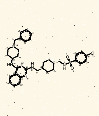 O=S(=O)(NC[C@H]1CC[C@H](CNc2nc(NC3CCN(Cc4ccccc4)CC3)c3ccccc3n2)CC1)c1ccc(Cl)cc1